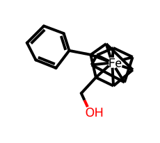 OC[C]12[CH]3[CH]4[CH]5[C]1(c1ccccc1)[Fe]43521678[CH]2[CH]1[CH]6[CH]7[CH]28